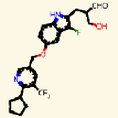 O=CC(CO)Cc1[nH]c2ccc(OCc3cnc(C4CCCC4)c(C(F)(F)F)c3)cc2c1F